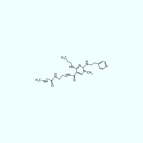 CCCNC1=NC(NCCc2ccncc2)N(C)C=C1C(=O)NCCCNC(=O)CNC